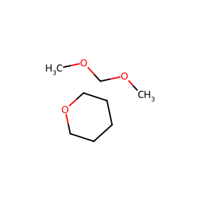 C1CCOCC1.COCOC